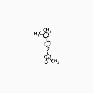 Cc1ccc(N2CCN(CCC3CN(C)C(=O)O3)CC2)cc1C